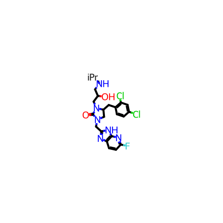 CC(C)NCC(O)CN1C(=O)N(Cc2nc3ccc(F)nc3[nH]2)CC1Cc1ccc(Cl)cc1Cl